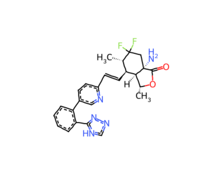 C[C@H]1OC(=O)[C@]2(N)CC(F)(F)[C@@H](C)[C@H](/C=C/c3ccc(-c4ccccc4-c4nnc[nH]4)cn3)[C@H]12